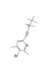 Cc1cc(C#C[Si](C)(C)C(C)(C)C)nc(C)c1Br